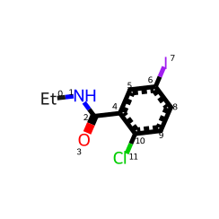 CCNC(=O)c1cc(I)ccc1Cl